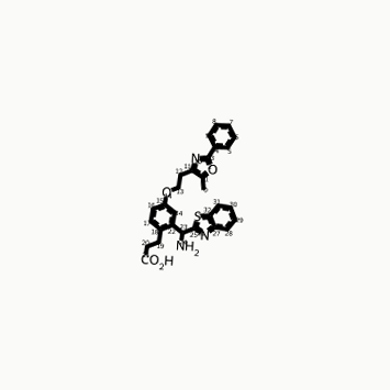 Cc1oc(-c2ccccc2)nc1CCOc1ccc(CCC(=O)O)c(C(N)c2nc3ccccc3s2)c1